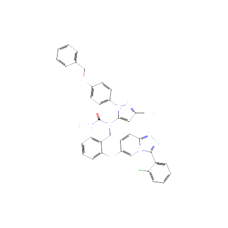 CC(C)(C)c1cc(N(Cc2ccccc2Sc2ccc3nnc(-c4ccccc4Cl)n3c2)C(N)=O)n(-c2ccc(OCc3ccccc3)cc2)n1